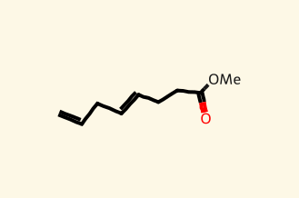 C=CCC=CCCC(=O)OC